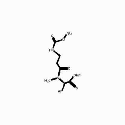 COC(=O)C(C(C)C)N(C)C(=O)CCNC(=O)OC(C)(C)C